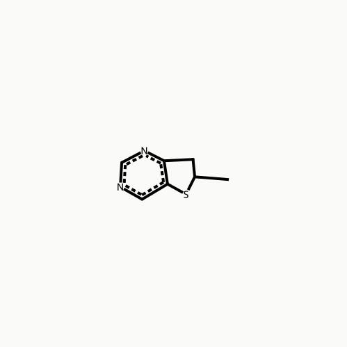 CC1Cc2ncncc2S1